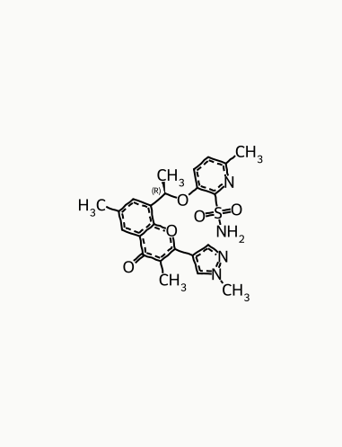 Cc1cc([C@@H](C)Oc2ccc(C)nc2S(N)(=O)=O)c2oc(-c3cnn(C)c3)c(C)c(=O)c2c1